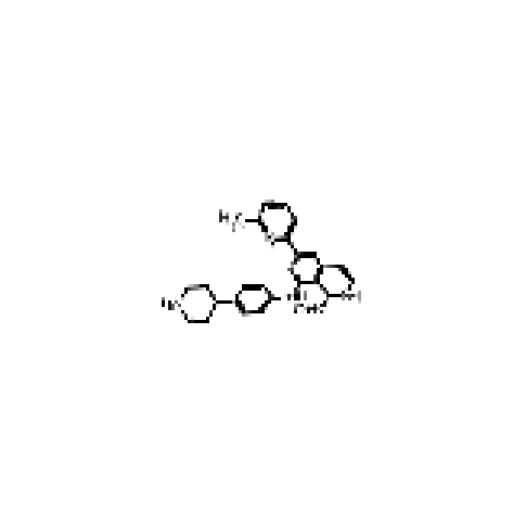 Cc1cccc(-c2cc3c(c(Nc4ccc(C5CCNCC5)cc4)n2)C(C=O)NC=C3)n1